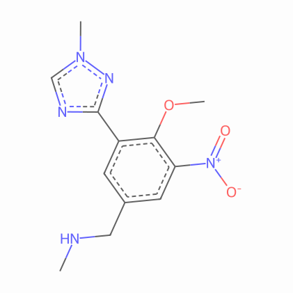 CNCc1cc(-c2ncn(C)n2)c(OC)c([N+](=O)[O-])c1